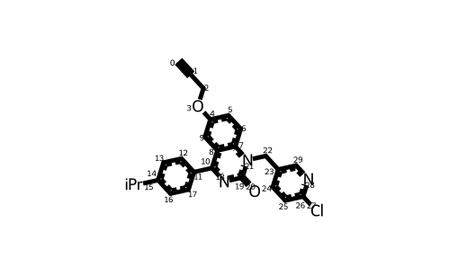 C#CCOc1ccc2c(c1)c(-c1ccc(C(C)C)cc1)nc(=O)n2Cc1ccc(Cl)nc1